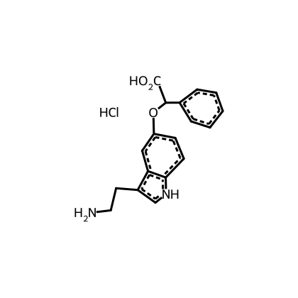 Cl.NCCc1c[nH]c2ccc(OC(C(=O)O)c3ccccc3)cc12